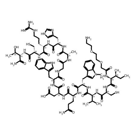 CC[C@H](C)[C@H](NC(=O)COCCOCCN)C(=O)N[C@@H](CS)C(=O)N[C@H](C(=O)N[C@@H](Cc1cn(C)c2ccccc12)C(=O)N[C@@H](CCC(N)=O)C(=O)N[C@@H](CC(=O)O)C(=O)N[C@@H](Cc1c[nH]c2ccccc12)C(=O)NCC(=O)N[C@@H](C)C(=O)N[C@@H](Cc1c[nH]cn1)C(=O)N[C@@H](CCCNC(=N)N)C(=O)N[C@@H](CS)C(=O)N[C@H](C(N)=O)[C@@H](C)O)C(C)C